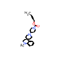 CC#CCOC(=O)N1CCC(N2CCC3(CCN(C(C)=O)c4ccccc43)CC2)CC1